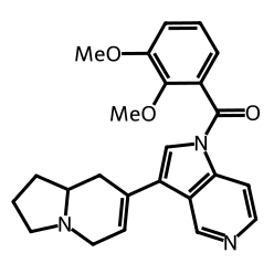 COc1cccc(C(=O)n2cc(C3=CCN4CCCC4C3)c3cnccc32)c1OC